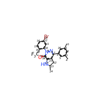 Cc1cc(C)cc(-c2nn(-c3cc(Br)ccc3C(F)(F)F)c(=O)c3c2CC(C)N3)c1